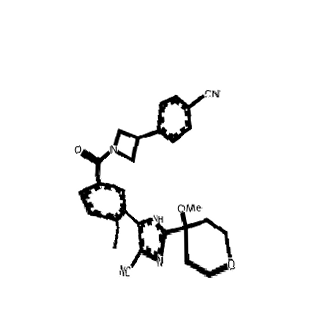 COC1(c2nc(C#N)c(-c3cc(C(=O)N4CC(c5ccc(C#N)cc5)C4)ccc3C)[nH]2)CCOCC1